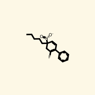 CCCCCC1([N+](=O)[O-])C=CC(c2ccccc2)=C(F)C1